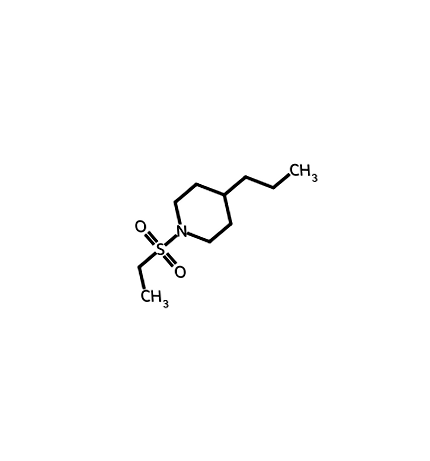 CCCC1CCN(S(=O)(=O)CC)CC1